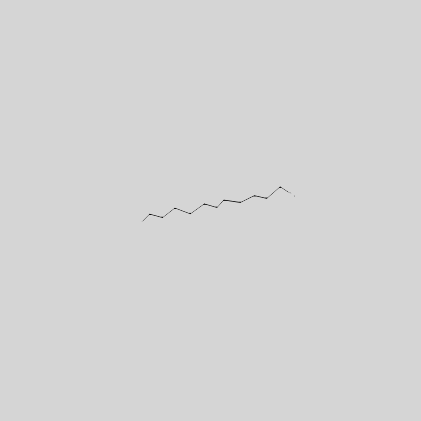 CCOC(=O)CCCCCCCCCCCN